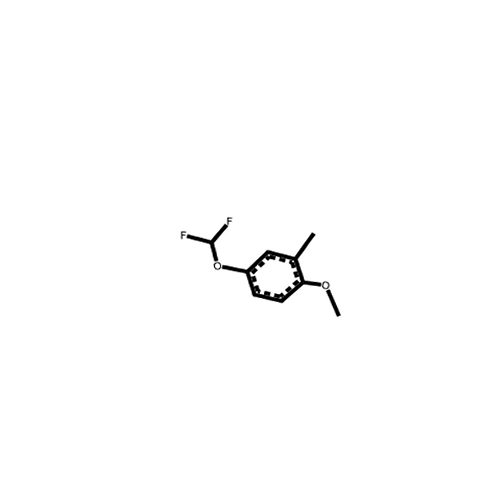 COc1ccc(OC(F)F)cc1C